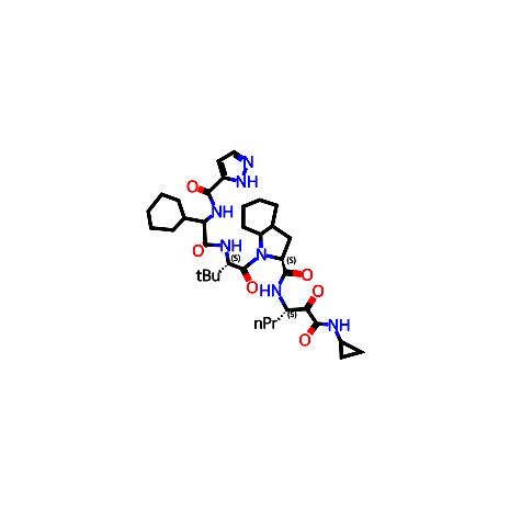 CCC[C@H](NC(=O)[C@@H]1CC2CCCCC2N1C(=O)[C@@H](NC(=O)C(NC(=O)c1ccn[nH]1)C1CCCCC1)C(C)(C)C)C(=O)C(=O)NC1CC1